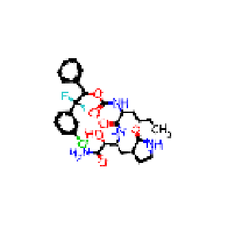 CCCC[C@H](NC(=O)OC(c1ccccc1)C(F)(F)c1cccc(Cl)c1)C(=O)N[C@@H](C[C@@H]1CCNC1=O)C(O)C(N)=O